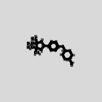 CC1(C)OB(c2ccc(CN3CC[S+]([O-])CC3)cc2)OC1(C)C